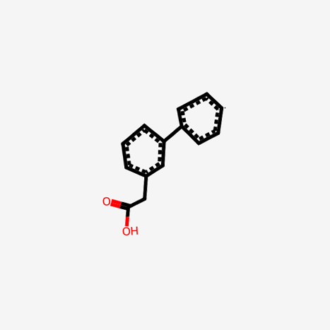 O=C(O)Cc1cccc(-c2cc[c]cc2)c1